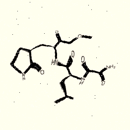 COCC(=O)[C@H](C[C@@H]1CCNC1=O)NC(=O)[C@H](CC(C)C)NC(=O)C(N)=O